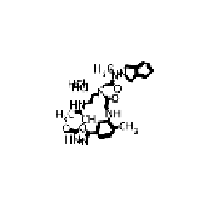 Cc1ccc(-c2n[nH]c(=O)o2)cc1NCC(=O)N(CCNC(C)C)CC(=O)N(C)N1Cc2ccccc2C1.Cl.Cl